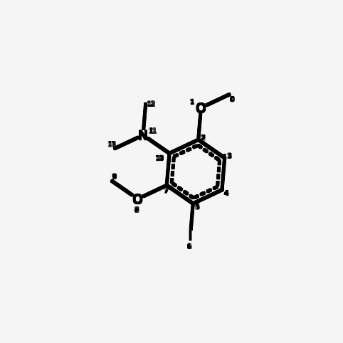 COc1[c]cc(I)c(OC)c1N(C)C